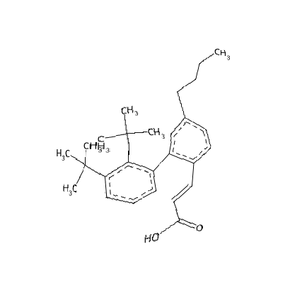 CCCCc1ccc(C=CC(=O)O)c(-c2cccc(C(C)(C)C)c2C(C)(C)C)c1